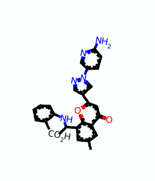 Cc1cc(C(C)Nc2ccccc2C(=O)O)c2oc(-c3cnn(-c4ccc(N)nc4)c3)cc(=O)c2c1